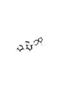 Cc1cc(N2CCC3(CCC[C@H]3N)CC2)n2ccnc2c1Sc1ccnc(N)c1Cl